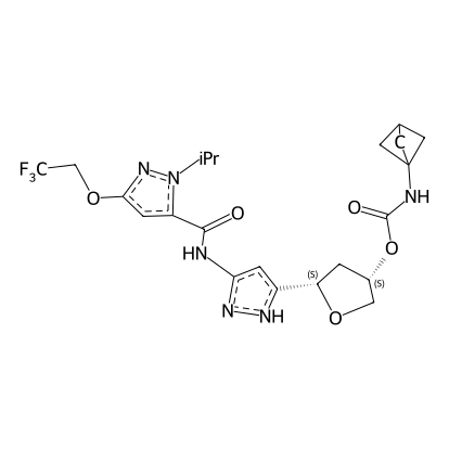 CC(C)n1nc(OCC(F)(F)F)cc1C(=O)Nc1cc([C@@H]2C[C@H](OC(=O)NC34CC(C3)C4)CO2)[nH]n1